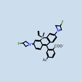 C=C[Si]1(C)C2=CC(=[N+]3CC(F)C3)C=CC2=C(c2cc(C(C)=O)ccc2C(=O)[O-])c2ccc(N3CC(F)C3)cc21